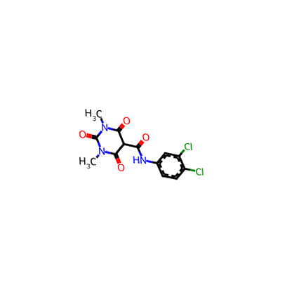 CN1C(=O)C(C(=O)Nc2ccc(Cl)c(Cl)c2)C(=O)N(C)C1=O